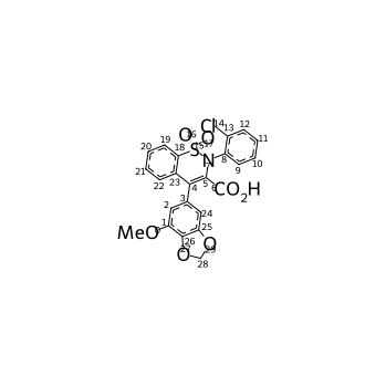 COc1cc(C2=C(C(=O)O)N(c3ccccc3Cl)S(=O)(=O)c3ccccc32)cc2c1OCO2